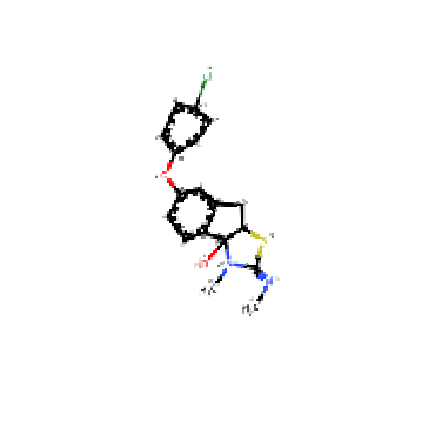 CN=C1SC2Cc3cc(Oc4ccc(Cl)cc4)ccc3C2(O)N1C